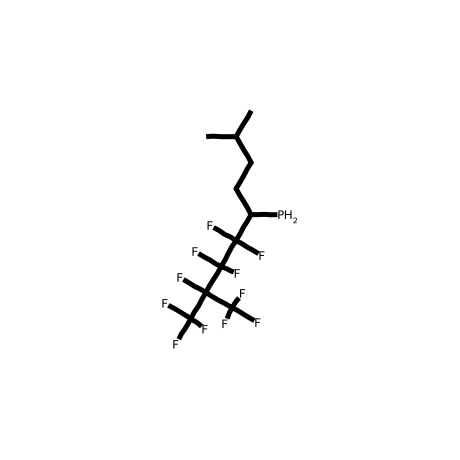 CC(C)CCC(P)C(F)(F)C(F)(F)C(F)(C(F)(F)F)C(F)(F)F